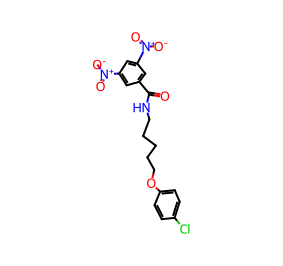 O=C(NCCCCCOc1ccc(Cl)cc1)c1cc([N+](=O)[O-])cc([N+](=O)[O-])c1